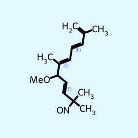 C=C(C)/C=C/C=C(\C)C(/C=C/C(C)(C)N=O)OC